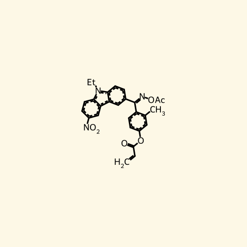 C=CC(=O)Oc1ccc(/C(=N\OC(C)=O)c2ccc3c(c2)c2cc([N+](=O)[O-])ccc2n3CC)c(C)c1